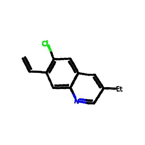 [CH2]Cc1cnc2cc(C=C)c(Cl)cc2c1